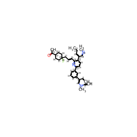 C#CN(C)/C=C(\C=C)c1cccc(-c2ccc(C(/C=N\C)=C/CC)c(/C=C/CC3(F)CCC(C(C)=O)CC3)n2)c1